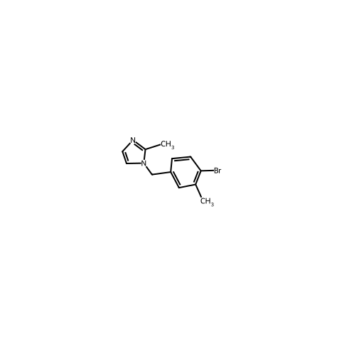 Cc1cc(Cn2ccnc2C)ccc1Br